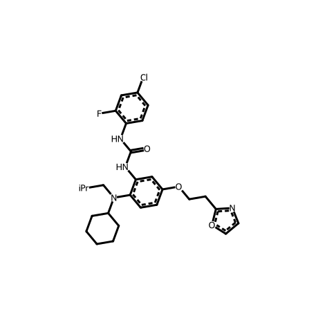 CC(C)CN(c1ccc(OCCc2ncco2)cc1NC(=O)Nc1ccc(Cl)cc1F)C1CCCCC1